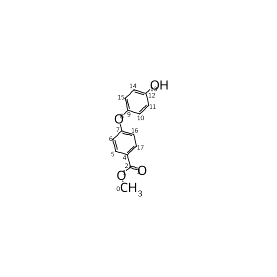 COC(=O)c1ccc(Oc2ccc(O)cc2)cc1